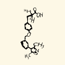 [2H]C([2H])(Cc1ccc(OCc2cccc(-c3c(C)noc3C)c2)cc1)C(=O)O